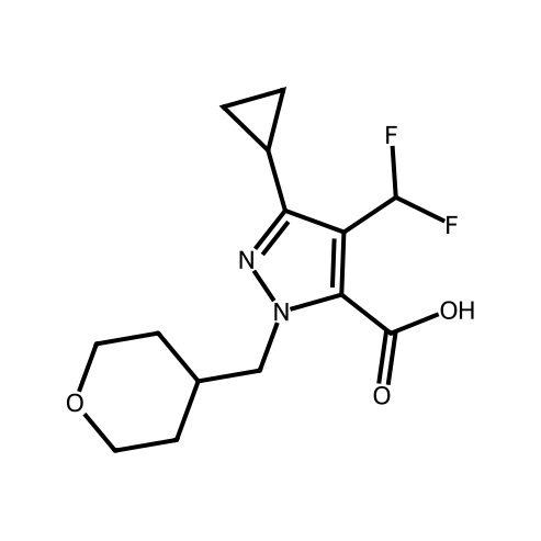 O=C(O)c1c(C(F)F)c(C2CC2)nn1CC1CCOCC1